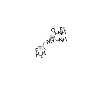 CCNC(=O)/C(C=N)=C/NC/C(=C/F)CN